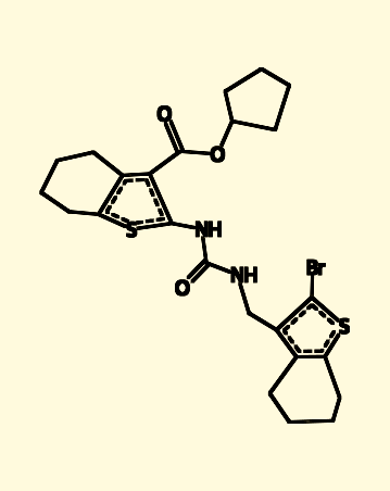 O=C(NCc1c(Br)sc2c1CCCC2)Nc1sc2c(c1C(=O)OC1CCCC1)CCCC2